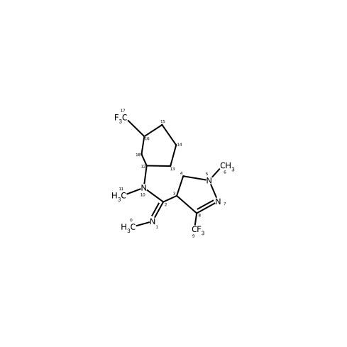 C/N=C(/C1CN(C)N=C1C(F)(F)F)N(C)C1CCCC(C(F)(F)F)C1